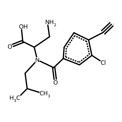 [C]#Cc1ccc(C(=O)N(CC(C)C)C(CN)C(=O)O)cc1Cl